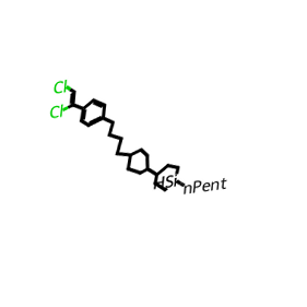 CCCCC[SiH]1CCC(C2CCC(CCCCc3ccc(C(Cl)=CCl)cc3)CC2)CC1